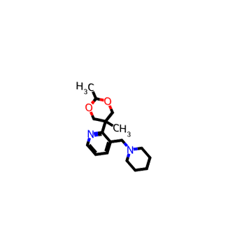 CC1OCC(C)(c2ncccc2CN2CCCCC2)CO1